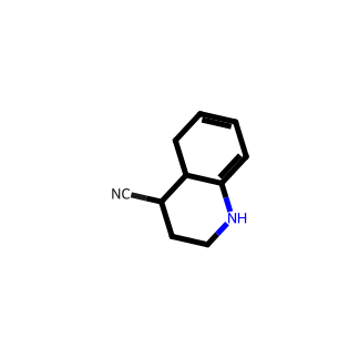 N#CC1CCNC2=CC=CCC21